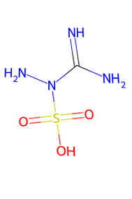 N=C(N)N(N)S(=O)(=O)O